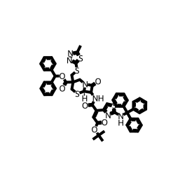 Cc1nnc(SCC2(C(=O)OC(c3ccccc3)c3ccccc3)CS[C@@H]3C(NC(=O)C(=CC(=O)OC(C)(C)C)c4csc(NC(c5ccccc5)(c5ccccc5)c5ccccc5)n4)C(=O)N3C2)s1